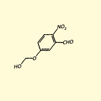 O=Cc1cc(OCO)ccc1[N+](=O)[O-]